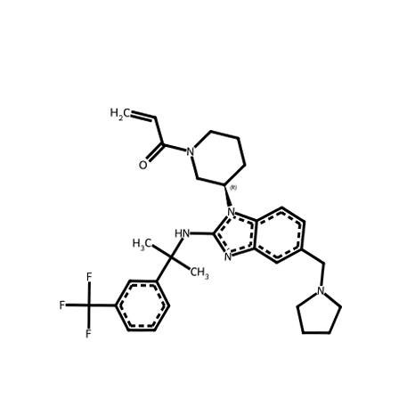 C=CC(=O)N1CCC[C@@H](n2c(NC(C)(C)c3cccc(C(F)(F)F)c3)nc3cc(CN4CCCC4)ccc32)C1